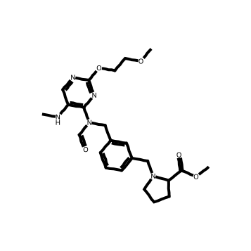 CNc1cnc(OCCOC)nc1N(C=O)Cc1cccc(CN2CCCC2C(=O)OC)c1